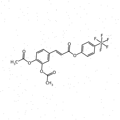 CC(=O)Oc1ccc(/C=C/C(=O)Oc2ccc(S(F)(F)(F)(F)F)cc2)cc1OC(C)=O